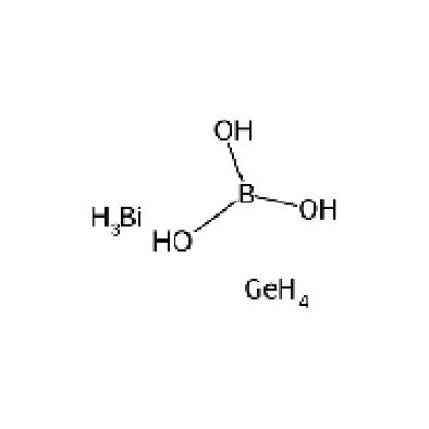 OB(O)O.[BiH3].[GeH4]